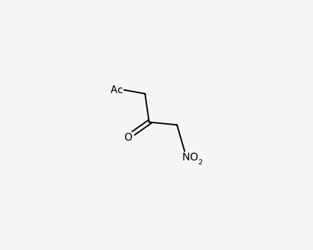 CC(=O)CC(=O)C[N+](=O)[O-]